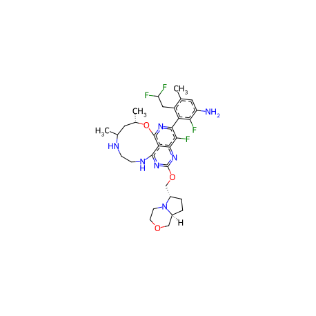 Cc1cc(N)c(F)c(-c2nc3c4c(nc(OC[C@@H]5CC[C@H]6COCCN65)nc4c2F)NCCNC(C)C[C@H](C)O3)c1CC(F)F